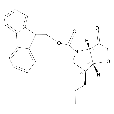 CCC[C@H]1CN(C(=O)OCC2c3ccccc3-c3ccccc32)[C@@H]2C(=O)CO[C@H]12